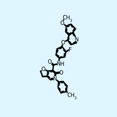 COc1ccc2nccc(Oc3ccc(NC(=O)c4c5c(cn(-c6ccc(C)cc6)c4=O)CCO5)cc3F)c2c1